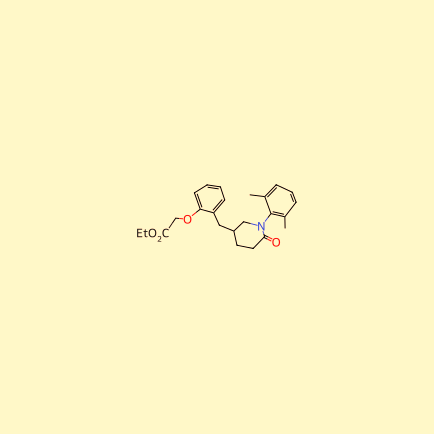 CCOC(=O)COc1ccccc1CC1CCC(=O)N(c2c(C)cccc2C)C1